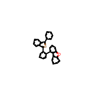 c1ccc(-c2sc(-c3ccccc3-c3cccc4oc5ccccc5c34)c3ccccc23)cc1